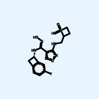 N=S1(=O)CCC1CNc1nonc1/C(=N/O)N[C@H]1Cc2ccc(F)cc21